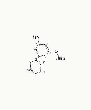 CCCCOc1cccc(O)c1.c1ccccc1